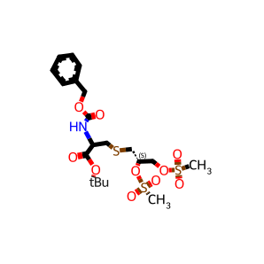 CC(C)(C)OC(=O)C(CSC[C@H](COS(C)(=O)=O)OS(C)(=O)=O)NC(=O)OCc1ccccc1